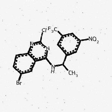 CC(Nc1nc(Cl)nc2ccc(Br)cc12)c1cc([N+](=O)[O-])cc(C(F)(F)F)c1